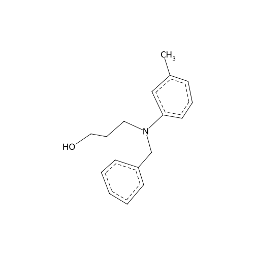 Cc1cccc(N(CCCO)Cc2ccccc2)c1